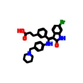 O=C(O)CCc1cccc(/C(Nc2ccc(CN3CCCCC3)cc2)=C2/C(=O)Nc3cc(Br)ccc32)c1